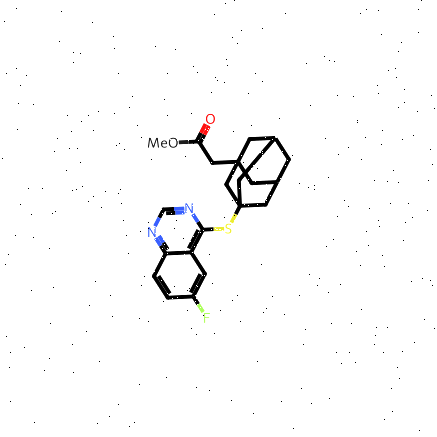 COC(=O)CC12CC3CC(C1)CC(Sc1ncnc4ccc(F)cc14)(C3)C2